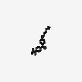 O=C(c1ccc(OCC=CCBr)cc1)c1ccc(C(F)(F)F)cc1